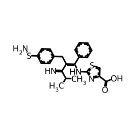 CC(C)C(=N)/C(Cc1ccc(SN)cc1)=C(\Nc1nc(C(=O)O)cs1)c1ccccc1